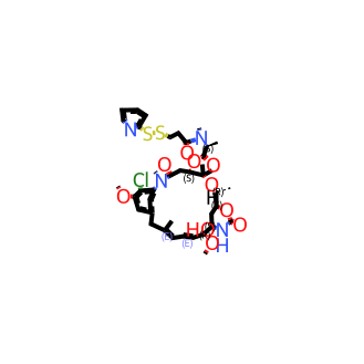 COc1cc2cc(c1Cl)N(C)C(=O)C[C@H](OC(=O)[C@H](C)N(C)C(=O)CCSSc1ccccn1)C(C)(C)O[C@H](C)[C@@H]1C[C@@](O)(NC(=O)O1)[C@H](OC)/C=C/C=C(\C)C2